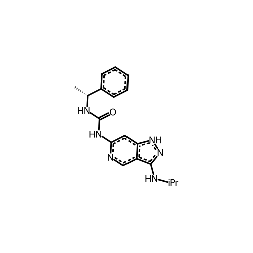 CC(C)Nc1n[nH]c2cc(NC(=O)N[C@H](C)c3ccccc3)ncc12